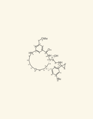 COCc1cc2cc(n1)NCCCCOCC[C@@H](C)C[C@@H]([C@H](O)CNC1(c3cccc(C(C)(C)C)c3)CC1)NC2=O